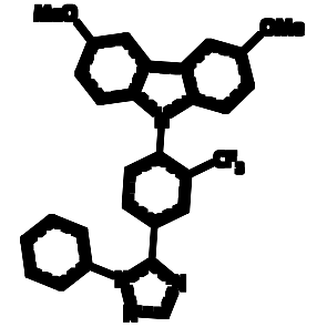 COc1ccc2c(c1)c1cc(OC)ccc1n2-c1ccc(-c2ncnn2-c2ccccc2)cc1C(F)(F)F